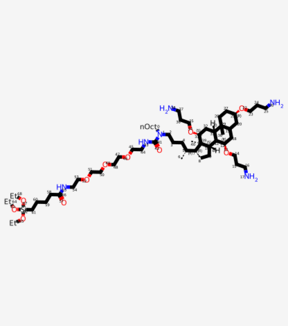 CCCCCCCCN(CCC[C@@H](C)[C@H]1CC[C@H]2C3[C@H](OCCCN)CC4C[C@H](OCCCN)CCC4(C)[C@H]3C[C@H](OCCCN)[C@]12C)C(=O)NCCOCCOCCOCCNC(=O)CCCC[Si](OCC)(OCC)OCC